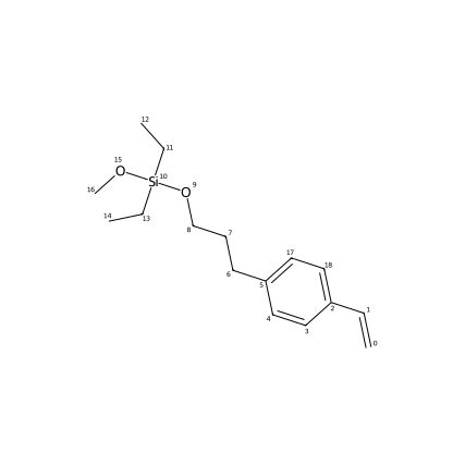 C=Cc1ccc(CCCO[Si](CC)(CC)OC)cc1